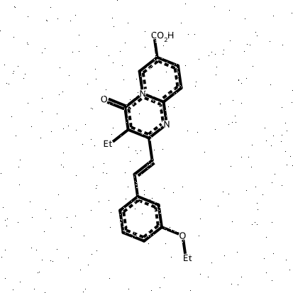 CCOc1cccc(C=Cc2nc3ccc(C(=O)O)cn3c(=O)c2CC)c1